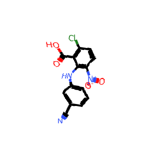 N#Cc1cccc(Nc2c([N+](=O)[O-])ccc(Cl)c2C(=O)O)c1